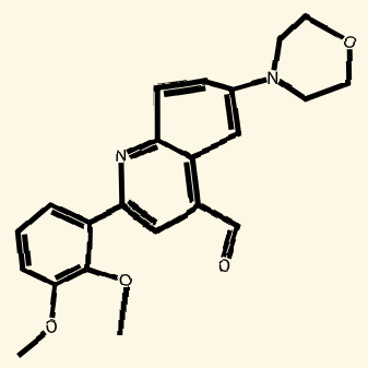 COc1cccc(-c2cc(C=O)c3cc(N4CCOCC4)ccc3n2)c1OC